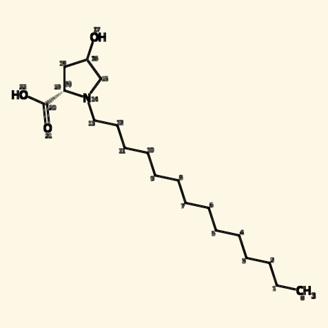 CCCCCCCCCCCCCCN1CC(O)C[C@H]1C(=O)O